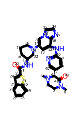 CN1CCN(C)[C@H](c2ccc(Nc3cc(N4CCCC(NC(=O)c5cc6ccccc6s5)C4)cn4ccnc34)nc2)C1=O